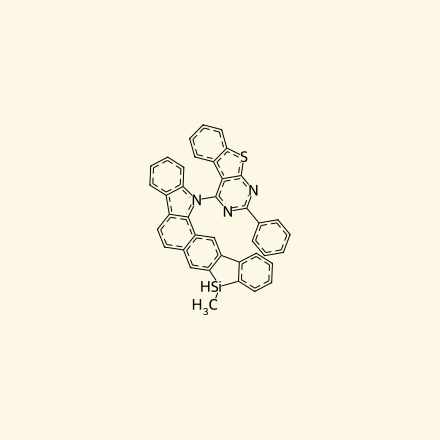 C[SiH]1c2ccccc2-c2cc3c(ccc4c5ccccc5n(-c5nc(-c6ccccc6)nc6sc7ccccc7c56)c34)cc21